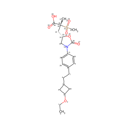 CCOC1CC(CCc2ccc(N3C[C@H](C[C@](C)(C(=O)O)S(C)(=O)=O)OC3=O)cc2)C1